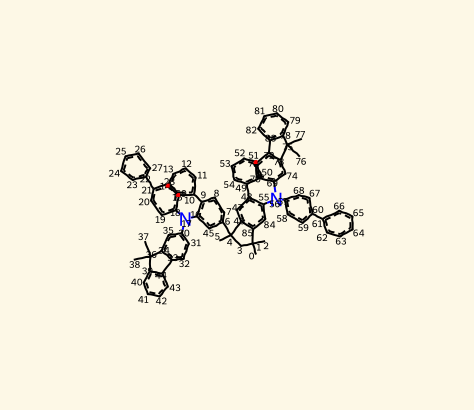 CC1(C)CC(C)(c2ccc(-c3ccccc3)c(N(c3ccc(-c4ccccc4)cc3)c3ccc4c(c3)C(C)(C)c3ccccc3-4)c2)c2cc(-c3ccccc3)c(N(c3ccc(-c4ccccc4)cc3)c3ccc4c(c3)C(C)(C)c3ccccc3-4)cc21